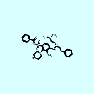 CN(C)CC[C@H](CSc1ccccc1)Nc1ccc(S(=O)(=O)NC(=O)c2ccccc2)c(N2CCNCC2)c1[N+](=O)[O-]